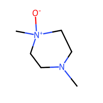 CN1CC[N+](C)([O-])CC1